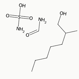 CCCCCC(C)CO.NC=O.NS(=O)(=O)O